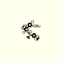 CC(C)COc1cc(-c2nn(CC(=O)N(c3ccc4c(c3)OC(F)(F)O4)C3CC3)c(=O)c3nc[nH]c23)ccc1Cl